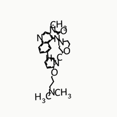 CC1CN(n2c(=O)n(C)c3cnc4ccc(-c5ccc(OCCCN(C)C)nc5)cc4c32)CCO1